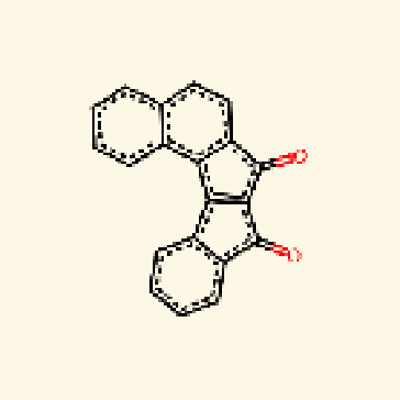 O=c1c2c(=O)c3ccc4ccccc4c3c=2c2ccccc12